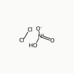 ClCl.O=[N+]([O-])O